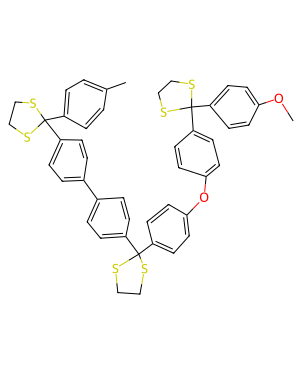 COc1ccc(C2(c3ccc(Oc4ccc(C5(c6ccc(-c7ccc(C8(c9ccc(C)cc9)SCCS8)cc7)cc6)SCCS5)cc4)cc3)SCCS2)cc1